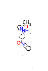 CC(=O)c1cccn1NC1CCC(C(=O)N2Cc3ccccc3C2)CC1